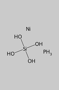 O[Si](O)(O)O.P.[Ni]